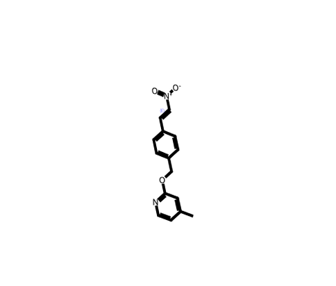 Cc1ccnc(OCc2ccc(/C=C/[N+](=O)[O-])cc2)c1